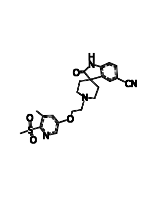 Cc1cc(OCCN2CCC3(CC2)C(=O)Nc2ccc(C#N)cc23)cnc1S(C)(=O)=O